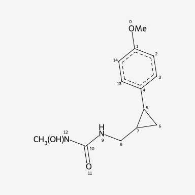 COc1ccc(C2CC2CNC(=O)N(C)O)cc1